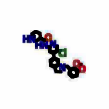 O=C(Nc1cc(-c2ccc3c(c2)N(Cc2cccc4c2OCO4)CC3)c(Cl)cn1)C1CCCNC1